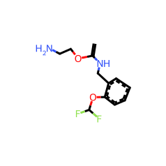 C=C(NCc1ccccc1OC(F)F)OCCN